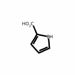 O=C(O)C1=CC=CB1